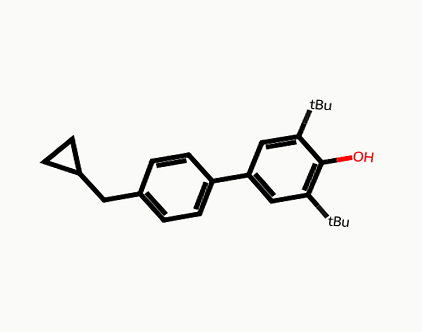 CC(C)(C)c1cc(-c2ccc(CC3CC3)cc2)cc(C(C)(C)C)c1O